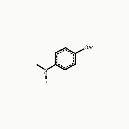 CC(=O)Oc1ccc([SH](C)I)cc1